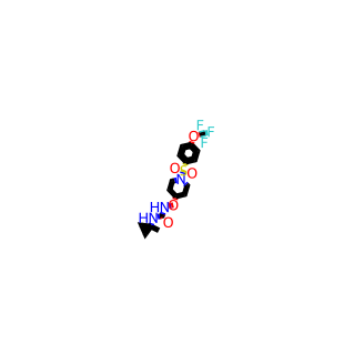 CC1(NC(=O)NOC2CCN(S(=O)(=O)c3ccc(OC(F)(F)F)cc3)CC2)CC1